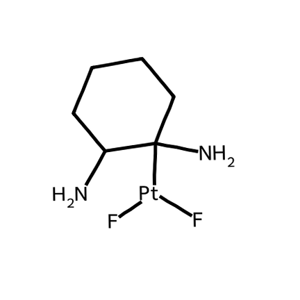 NC1CCCC[C]1(N)[Pt]([F])[F]